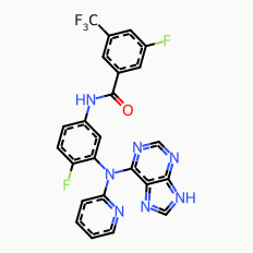 O=C(Nc1ccc(F)c(N(c2ccccn2)c2ncnc3[nH]cnc23)c1)c1cc(F)cc(C(F)(F)F)c1